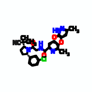 Cc1cc(Oc2ccc(C(=O)NCC(=O)N3[C@H](c4cccc(Cl)c4)CC[C@@H]3C(C)(C)C#N)nc2C)c(=O)[nH]n1